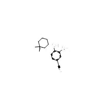 C[C@@H]1C[C@H](Nc2ccc(C#N)cc2N)CC(C)(C)C1